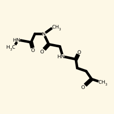 CNC(=O)CN(C)C(=O)CNC(=O)CCC(C)=O